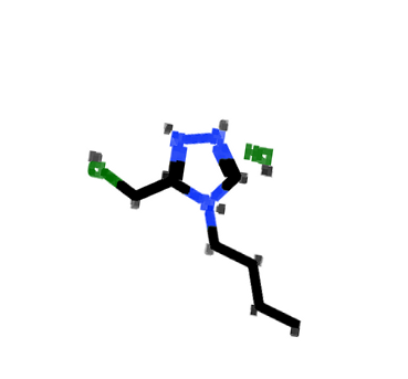 CCCCn1cnnc1CCl.Cl